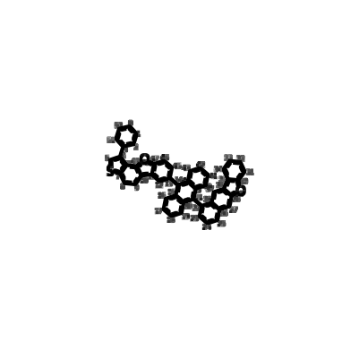 c1ccc(-c2csc3ccc4c5cc(-c6c7ccccc7c(-c7cccc8cc9oc%10ccccc%10c9cc78)c7ccccc67)ccc5oc4c23)cc1